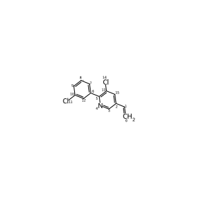 C=Cc1cnc(-c2c[c]cc(Cl)c2)c(Cl)c1